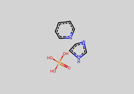 O=P(O)(O)O.c1c[nH]cn1.c1ccncc1